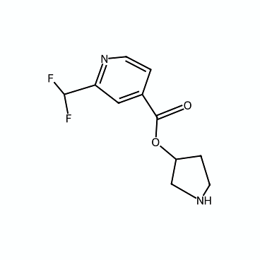 O=C(OC1CCNC1)c1ccnc(C(F)F)c1